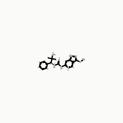 CCOc1n[nH]c2cc(NC(=O)N[C@@H](c3ccccc3)C(C)(C)O)ncc12